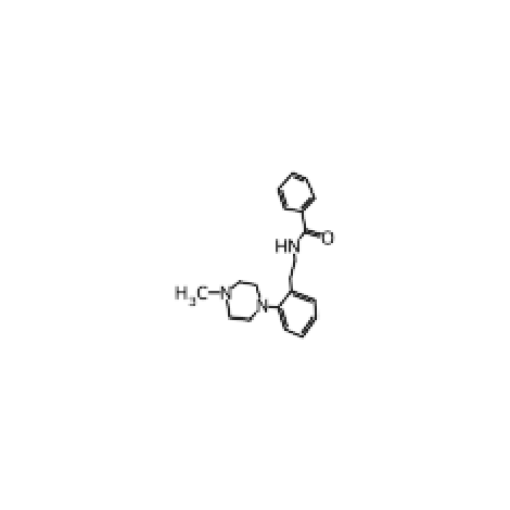 CN1CCN(c2ccccc2CCNC(=O)c2ccccc2)CC1